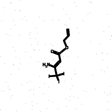 C=CCOC(=O)/C=C(\N)C(I)(I)I